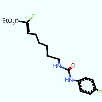 CCOC(=O)/C(F)=C/CCCCCNC(=O)Nc1ccc(F)cc1